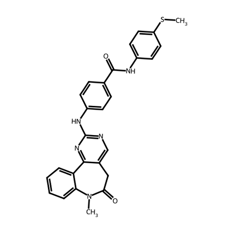 CSc1ccc(NC(=O)c2ccc(Nc3ncc4c(n3)-c3ccccc3N(C)C(=O)C4)cc2)cc1